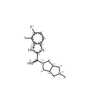 Cc1c(F)ccc2nc(C(=N)N3CC4CN(C)CC4C3)[nH]c12